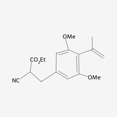 C=C(C)c1c(OC)cc(CC(C#N)C(=O)OCC)cc1OC